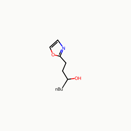 CCCCC(O)CCc1ncco1